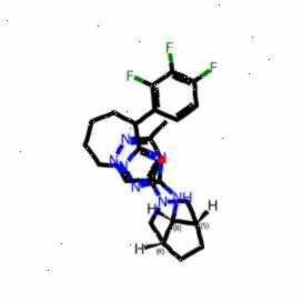 Cc1cc(N2C[C@H]3CC[C@@H](C2)[C@H]3Nc2nc3n(n2)CCCCC3c2ccc(F)c(F)c2F)cnn1